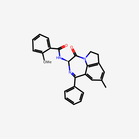 COc1ccccc1C(=O)N[C@@H]1N=C(c2ccccc2)c2cc(C)cc3c2N(CC3)C1=O